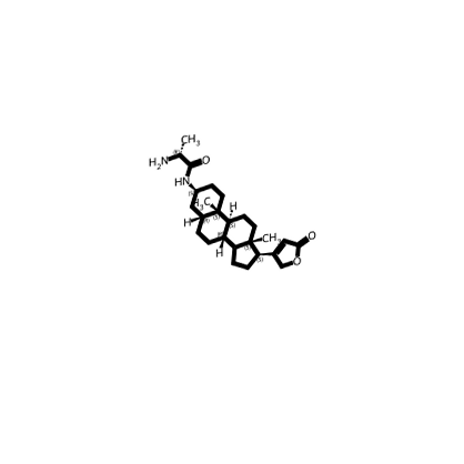 C[C@@H](N)C(=O)N[C@H]1CC[C@@]2(C)[C@H](CC[C@H]3C4CC[C@H](C5=CC(=O)OC5)[C@@]4(C)CC[C@@H]32)C1